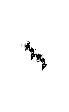 COc1n[nH]c(=O)cc1N1CCN(Cc2ccc(F)cc2C[n+]2cc(Cl)c(N3CCN(Cc4ccc(F)cc4C)CC3)c(=O)[nH]2)CC1